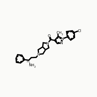 Cc1c(C(=O)N2CC3CN(CC[C@H](N)c4ccccc4)CC3C2)cnn1-c1ccc(Cl)cc1